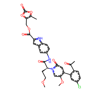 COCC[C@@H](C(=O)Nc1ccc2[nH]c(C(=O)OCc3oc(=O)oc3C)cc2c1)n1cc(OC)c(-c2cc(Cl)ccc2C(C)=O)cc1=O